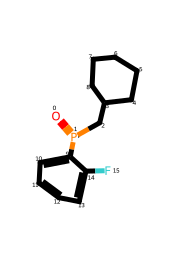 O=[P](CC1CCCCC1)c1ccccc1F